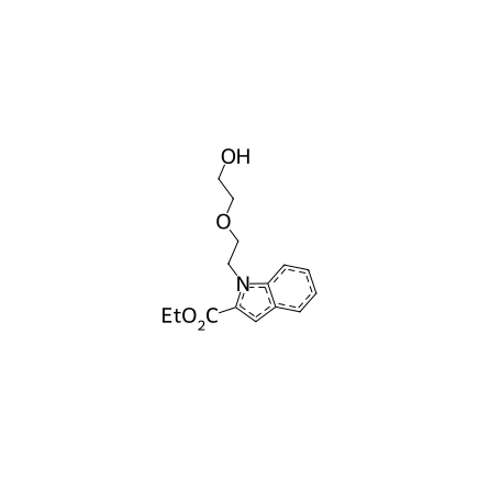 CCOC(=O)c1cc2ccccc2n1CCOCCO